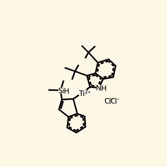 C[SiH](C)C1=Cc2ccccc2[CH]1[Ti+2][c]1[nH]c2cccc(C(C)(C)C)c2c1C(C)(C)C.[Cl-].[Cl-]